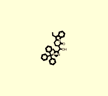 CCc1c2n(c3ccccc13)C(=O)C(C(O)c1ncn(C(c3ccccc3)(c3ccccc3)c3ccccc3)c1C)CC2